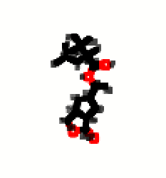 CC(C)CC(C)(C(=O)OC(C)C1CC2COC(=O)C2C1)C(C)(C)C